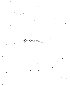 CCCCCCCCC1CCC(CCC2CC=C(CCc3ccc(C#N)c(F)c3)CC2)CC1